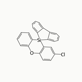 Clc1ccc2c(c1)[Si]1(c3ccccc3O2)c2ccccc2-c2ccccc21